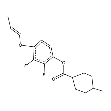 C/C=C/Oc1ccc(OC(=O)C2CCC(C)CC2)c(F)c1F